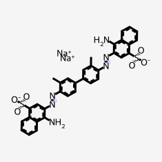 Cc1cc(-c2ccc(/N=N/c3cc(S(=O)(=O)[O-])c4ccccc4c3N)c(C)c2)ccc1/N=N/c1cc(S(=O)(=O)[O-])c2ccccc2c1N.[Na+].[Na+]